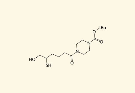 CC(C)(C)OC(=O)N1CCN(C(=O)CCCC(S)CO)CC1